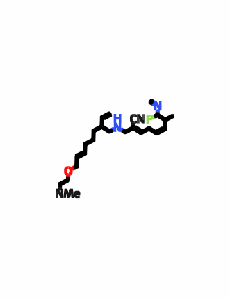 C=CC(CCC/C=C/COCCNC)CNC/C(C#N)=C/C/C=C\C(C)C(F)N=C